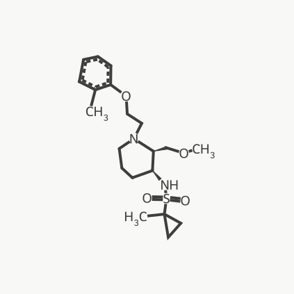 COC[C@H]1[C@@H](NS(=O)(=O)C2(C)CC2)CCCN1CCOc1ccccc1C